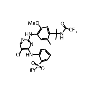 COc1cc(C(C)(C)NC(=O)C(F)(F)F)c(C)cc1Nc1ncc(Cl)c(Nc2ccccc2S(=O)(=O)C(C)C)n1